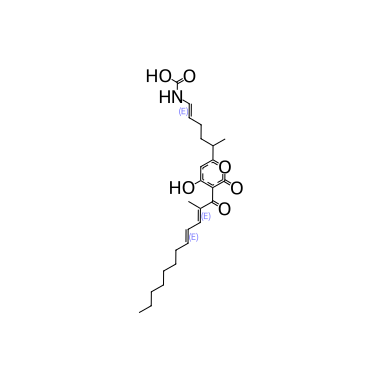 CCCCCCC/C=C/C=C(\C)C(=O)c1c(O)cc(C(C)CC/C=C/NC(=O)O)oc1=O